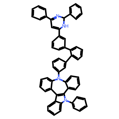 C1=C(c2cccc(-c3ccccc3-c3cccc(N4c5ccccc5-c5c(n(-c6ccccc6)c6ccccc56)-c5ccccc54)c3)c2)NC(c2ccccc2)N=C1c1ccccc1